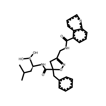 CC(C)C[C@H](NC(=O)C1(Cc2ccccc2)CC(CNC(=O)c2cccc3ncccc23)=NO1)B(O)O